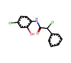 O=C(Nc1ccc(Cl)cc1O)C(Cl)c1ccccc1